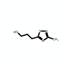 Cc1nsc(CCCO)n1